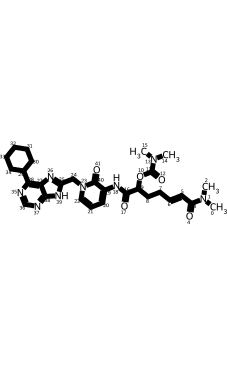 CN(C)C(=O)C=CCCC(OC(=O)N(C)C)C(=O)Nc1cccn(Cc2nc3c(C4CCCCC4)ncnc3[nH]2)c1=O